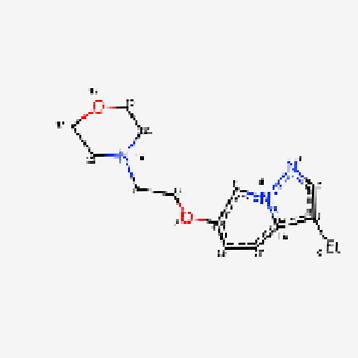 CCc1cnn2cc(OCCN3CCOCC3)ccc12